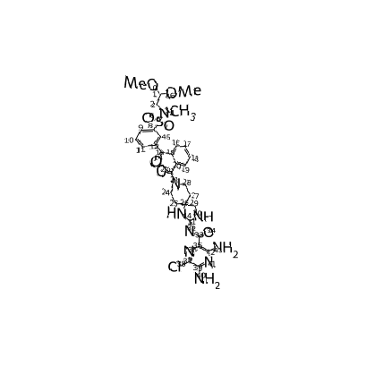 COC(CN(C)S(=O)(=O)c1cccc(C(=O)c2ccccc2C(=O)N2CCC3(CC2)CN/C(=N\C(=O)c2nc(Cl)c(N)nc2N)N3)c1)OC